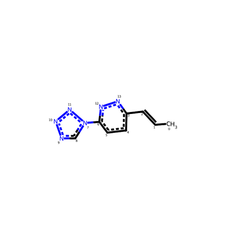 C/C=C/c1ccc(-n2cnnn2)nn1